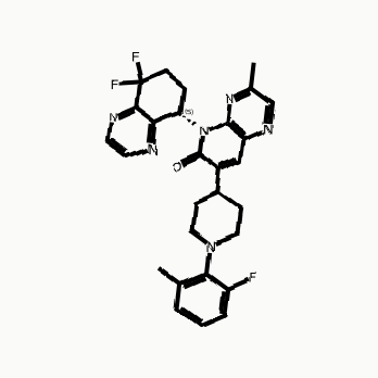 Cc1cnc2cc(C3CCN(c4c(C)cccc4F)CC3)c(=O)n([C@H]3CCC(F)(F)c4nccnc43)c2n1